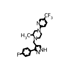 CC1CN(c2ccc(C(F)(F)F)cn2)CCN1Cc1c[nH]nc1-c1ccc(F)cc1